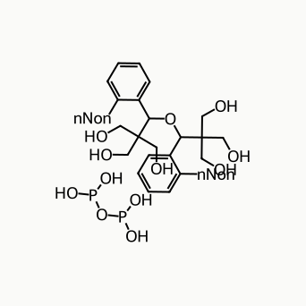 CCCCCCCCCc1ccccc1C(OC(c1ccccc1CCCCCCCCC)C(CO)(CO)CO)C(CO)(CO)CO.OP(O)OP(O)O